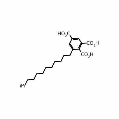 CC(C)CCCCCCCCCCc1cc(C(=O)O)cc(C(=O)O)c1C(=O)O